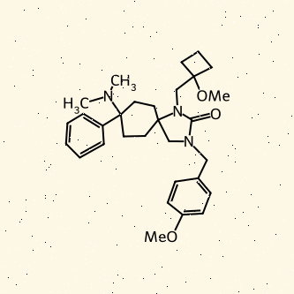 COc1ccc(CN2CC3(CCC(c4ccccc4)(N(C)C)CC3)N(CC3(OC)CCC3)C2=O)cc1